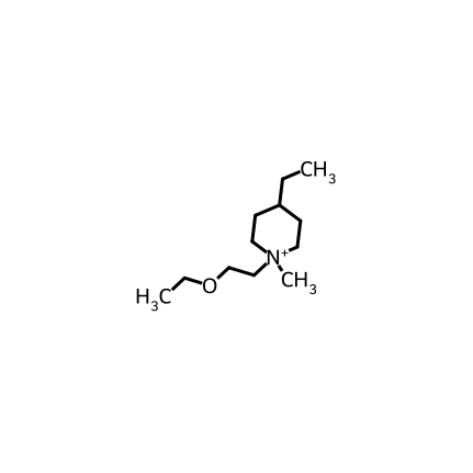 CCOCC[N+]1(C)CCC(CC)CC1